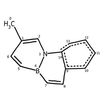 CC1=CN2B(C=C1)C=Cc1ccccc12